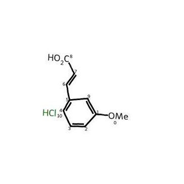 COc1cccc(C=CC(=O)O)c1.Cl